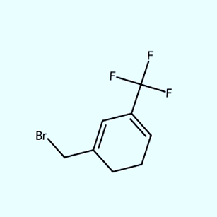 FC(F)(F)C1=CCCC(CBr)=C1